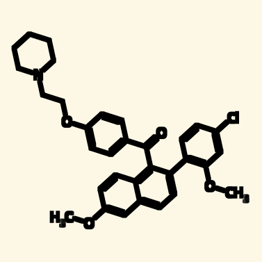 COc1ccc2c(C(=O)c3ccc(OCCN4CCCCC4)cc3)c(-c3ccc(Cl)cc3OC)ccc2c1